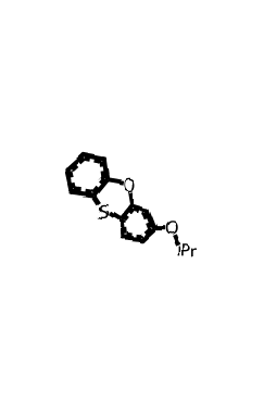 CC(C)Oc1ccc2c(c1)Oc1ccccc1S2